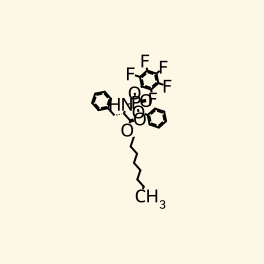 CCCCCCCCOC(=O)[C@H](Cc1ccccc1)N[P@](=O)(Oc1ccccc1)Oc1c(F)c(F)c(F)c(F)c1F